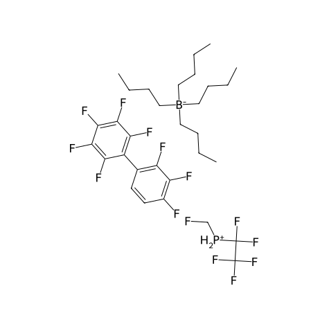 CCCC[B-](CCCC)(CCCC)CCCC.FC[PH2+]C(F)(F)C(F)(F)F.Fc1ccc(-c2c(F)c(F)c(F)c(F)c2F)c(F)c1F